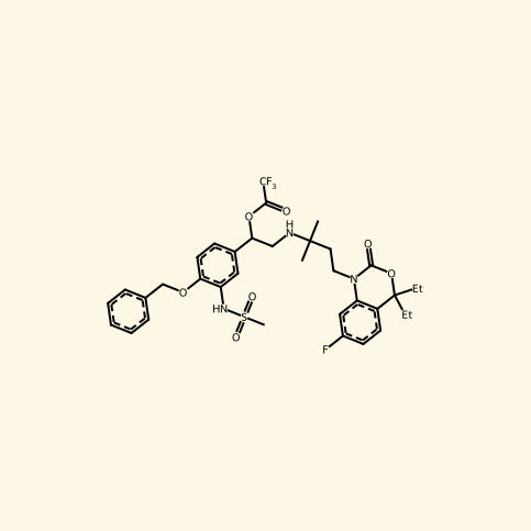 CCC1(CC)OC(=O)N(CCC(C)(C)NCC(OC(=O)C(F)(F)F)c2ccc(OCc3ccccc3)c(NS(C)(=O)=O)c2)c2cc(F)ccc21